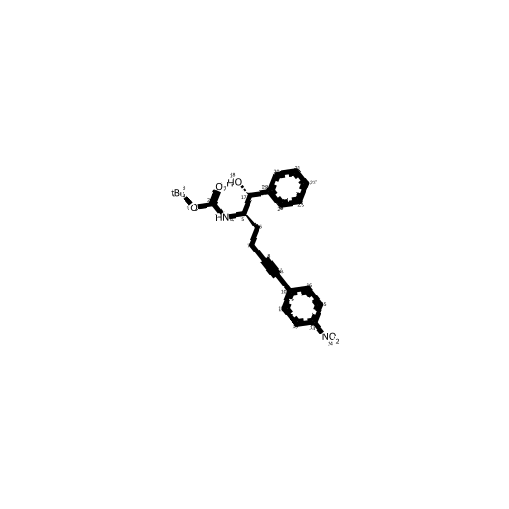 CC(C)(C)OC(=O)N[C@H](CCC#Cc1ccc([N+](=O)[O-])cc1)[C@H](O)c1ccccc1